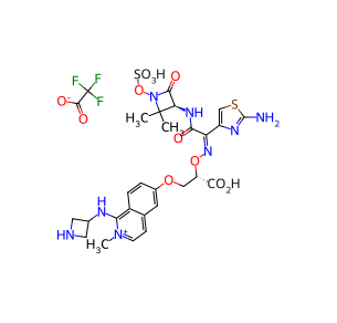 C[n+]1ccc2cc(OC[C@H](O/N=C(\C(=O)N[C@@H]3C(=O)N(OS(=O)(=O)O)C3(C)C)c3csc(N)n3)C(=O)O)ccc2c1NC1CNC1.O=C([O-])C(F)(F)F